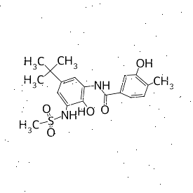 Cc1ccc(C(=O)Nc2cc(C(C)(C)C)cc(NS(C)(=O)=O)c2O)cc1O